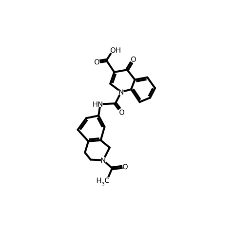 CC(=O)N1CCc2ccc(NC(=O)n3cc(C(=O)O)c(=O)c4ccccc43)cc2C1